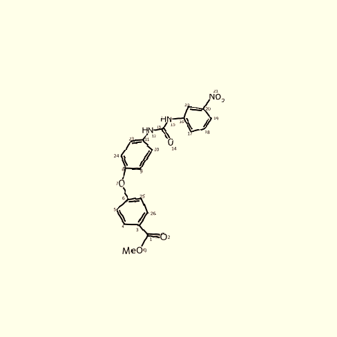 COC(=O)c1ccc(Oc2ccc(NC(=O)Nc3cccc([N+](=O)[O-])c3)cc2)cc1